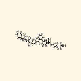 O=C(Nc1ccc(C2Cc3cnc(NCCCN4CCNCC4)nc3-c3ccccc32)cc1)Nc1ccc2ccccc2c1